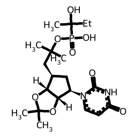 CCC(C)(O)P(=O)(O)OC(C)(C)C[C@H]1C[C@@H](n2ccc(=O)[nH]c2=O)[C@@H]2OC(C)(C)O[C@H]12